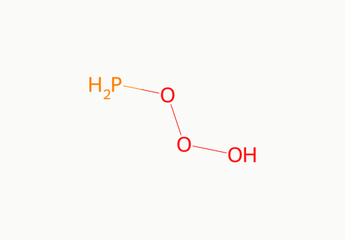 OOOP